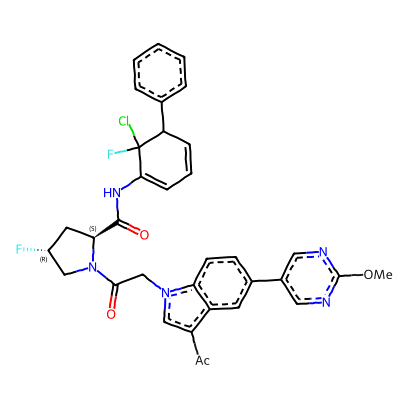 COc1ncc(-c2ccc3c(c2)c(C(C)=O)cn3CC(=O)N2C[C@H](F)C[C@H]2C(=O)NC2=CC=CC(c3ccccc3)C2(F)Cl)cn1